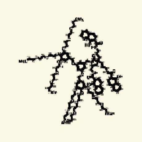 COCCOCCOCCOc1cc(COc2cc(CNC(=O)C(CCCNC(=O)c3ccc4cccnc4c3O)(CCCNC(=O)c3ccc4cccnc4c3O)CCCNC(=O)c3ccc4cccnc4c3O)cc(OCc3cc(OCCOCCOCCOC)c(OCCOCCOCCOC)c(OCCOCCOCCOC)c3)c2)cc(OCCOCCOCCOC)c1OCCOCCOCCOC